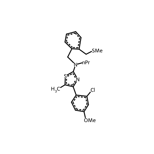 CCCN(Cc1ccccc1CSC)c1nc(-c2ccc(OC)cc2Cl)c(C)s1